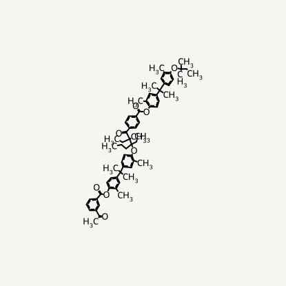 CCCC(CC)(Oc1ccc(C(C)(C)c2ccc(OC(=O)c3cccc(C(C)=O)c3)c(C)c2)cc1C)C(C)(CC)C(=O)c1ccc(C(=O)Oc2ccc(C(C)(C)c3ccc(OC(C)(C)CC)c(C)c3)cc2C)cc1